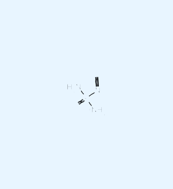 C=NP(N)(N)=O